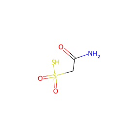 NC(=O)CS(=O)(=O)S